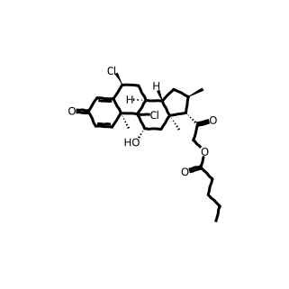 CCCCC(=O)OCC(=O)[C@H]1[C@H](C)C[C@H]2[C@@H]3C[C@H](Cl)C4=CC(=O)C=C[C@]4(C)C3(Cl)[C@@H](O)C[C@@]21C